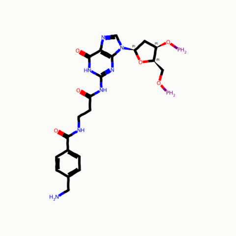 NCc1ccc(C(=O)NCCC(=O)Nc2nc3c(ncn3[C@H]3C[C@@H](OP)[C@@H](COP)O3)c(=O)[nH]2)cc1